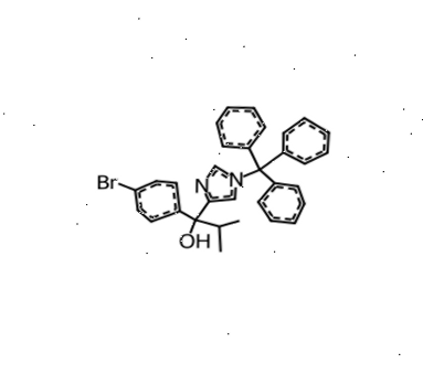 CC(C)C(O)(c1ccc(Br)cc1)c1cn(C(c2ccccc2)(c2ccccc2)c2ccccc2)cn1